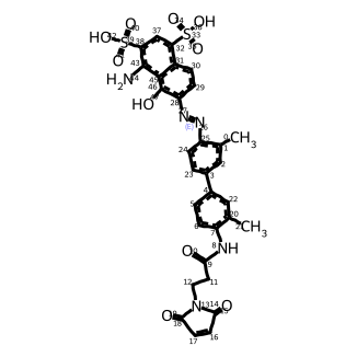 Cc1cc(-c2ccc(NC(=O)CCN3C(=O)C=CC3=O)c(C)c2)ccc1/N=N/c1ccc2c(S(=O)(=O)O)cc(S(=O)(=O)O)c(N)c2c1O